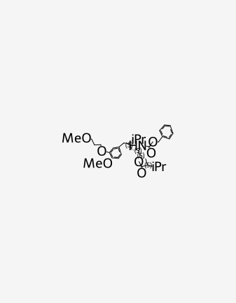 COCCCOc1cc(C[C@@H](C[C@H](NC(=O)OCc2ccccc2)[C@@H]2C[C@@H](C(C)C)C(=O)O2)C(C)C)ccc1OC